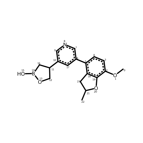 COc1ccc(-c2cncc(C3COB(O)C3)c2)c2c1OC(C)C2